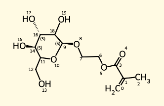 C=C(C)C(=O)OCCO[C@H]1OC(CO)[C@@H](O)[C@H](O)C1O